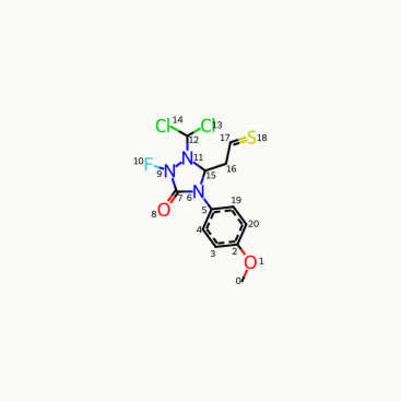 COc1ccc(N2C(=O)N(F)N(C(Cl)Cl)C2CC=S)cc1